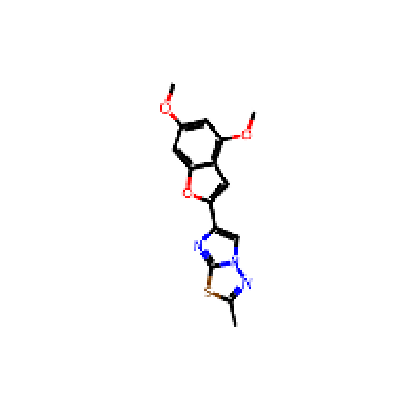 COc1cc(OC)c2cc(-c3cn4nc(C)sc4n3)oc2c1